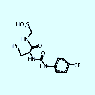 CC(C)CC(NC(=O)Nc1ccc(C(F)(F)F)cc1)C(=O)NCS(=O)(=O)O